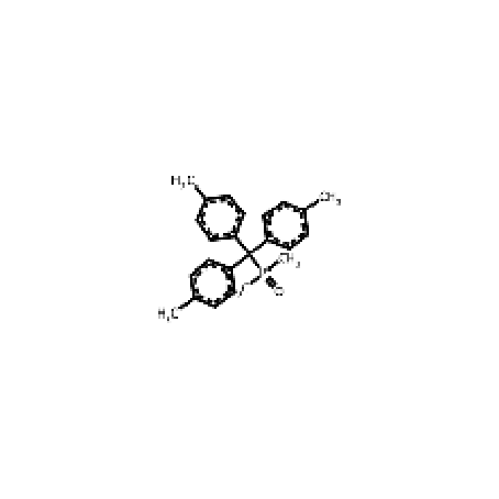 Cc1ccc(C(c2ccc(C)cc2)(c2ccc(C)cc2)P(C)(C)=O)cc1